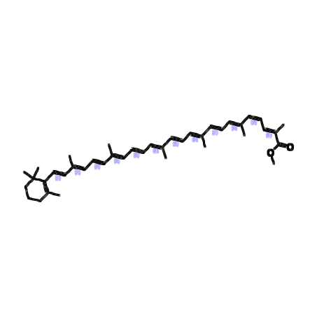 COC(=O)/C(C)=C/C=C\C(C)=C\C=C\C(C)=C\C=C\C(C)=C\C=C\C=C(C)\C=C\C=C(C)\C=C\C1=C(C)CCCC1(C)C